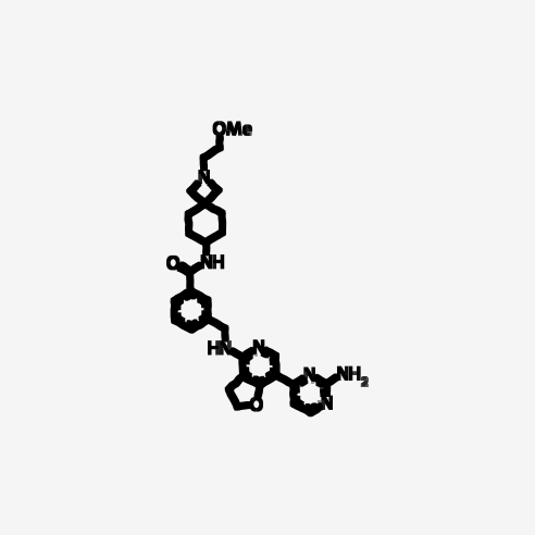 COCCN1CC2(CCC(NC(=O)c3cccc(CNc4ncc(-c5ccnc(N)n5)c5c4CCO5)c3)CC2)C1